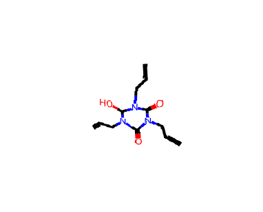 C=CCN1C(=O)N(CC=C)C(O)N(CC=C)C1=O